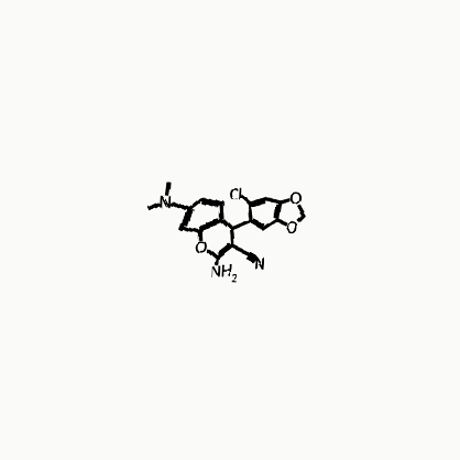 CN(C)c1ccc2c(c1)OC(N)=C(C#N)C2c1cc2c(cc1Cl)OCO2